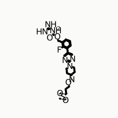 CS(=O)(=O)CCCON=C1CCN(c2ncc(-c3cccc(COC(=O)NC(=N)N)c3F)cn2)CC1